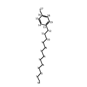 ICCCCCCCCCCCCc1ccc(I)cc1